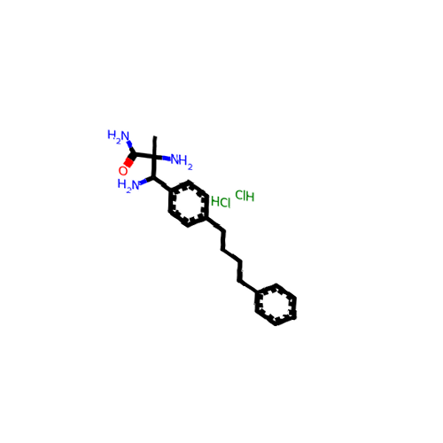 CC(N)(C(N)=O)C(N)c1ccc(CCCCc2ccccc2)cc1.Cl.Cl